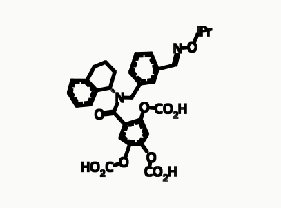 CC(C)ON=Cc1cccc(CN(C(=O)c2cc(OC(=O)O)c(OC(=O)O)cc2OC(=O)O)[C@H]2CCCc3ccccc32)c1